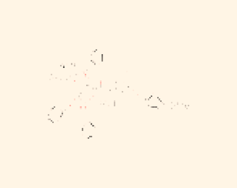 CC[C@H]1C(C[C@@H](OCc2ccccc2)C(OS(=O)(=O)O)[C@@H]2OC(C)(OC)C(C)(OC)O[C@H]2[C@H](COCc2ccccc2)OCc2ccccc2)C[C@@H](OCc2ccc(OC)cc2)[C@@H]1C